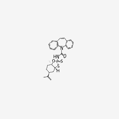 C=C(C)[C@H]1CC[C@@]2(C)O[P@](=S)(NC(=O)N3c4ccccc4C=Cc4ccccc43)S[C@@H]2C1